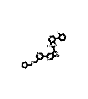 Fc1ccccc1-c1cncc2[nH]c(-c3n[nH]c4cnc(-c5cncc(CNCC6CCCC6)c5)cc34)nc12